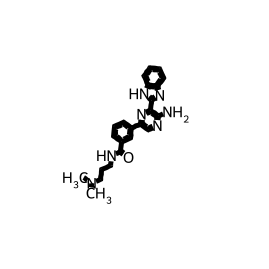 CN(C)CCCNC(=O)c1cccc(-c2cnc(N)c(-c3nc4ccccc4[nH]3)n2)c1